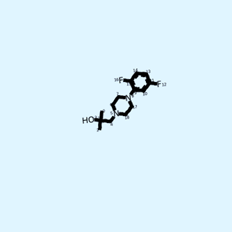 CC(C)(O)CN1CCN(c2cc(F)ccc2F)CC1